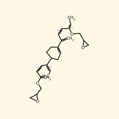 C=C(/C=C\C(=C/C)C1CC=C(C(=C)/C=C\C(=C/C)OCC2CO2)CC1)OCC1CO1